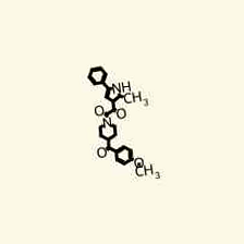 COc1ccc(C(=O)C2CCN(C(=O)C(=O)C3C=C(c4ccccc4)NC3C)CC2)cc1